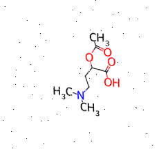 CC(=O)OC(CCN(C)C)C(=O)O